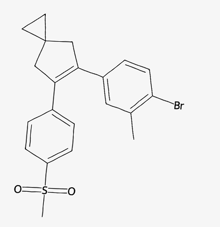 Cc1cc(C2=C(c3ccc(S(C)(=O)=O)cc3)CC3(CC3)C2)ccc1Br